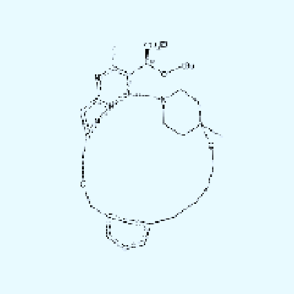 CCOC(=O)[C@@H](OC(C)(C)C)c1c(C)nc2cc3nn2c1N1CCC(C)(CC1)OCCCCc1cccc(c1)COC3